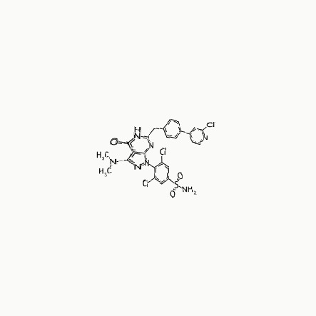 CN(C)c1nn(-c2c(Cl)cc(S(N)(=O)=O)cc2Cl)c2nc(Cc3ccc(-c4ccnc(Cl)c4)cc3)[nH]c(=O)c12